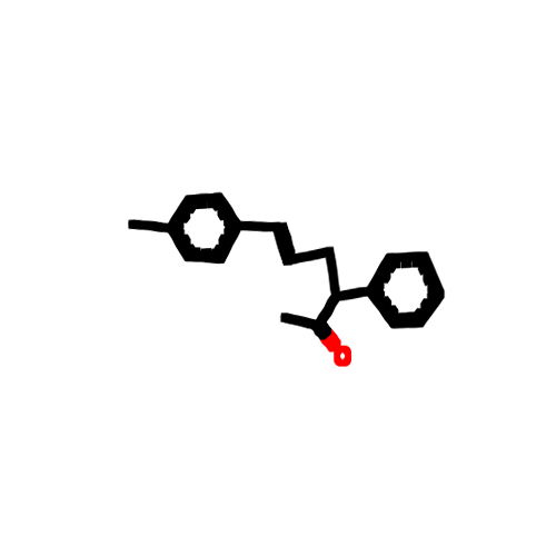 CC(=O)C(CC=Cc1ccc(C)cc1)c1ccccc1